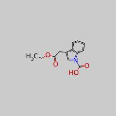 CCOC(=O)Cc1cn(C(=O)O)c2ccccc12